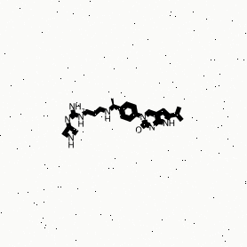 CC(C)c1cc2cn(-c3ccc([C@H](C)NCCCN/C(N)=N\C4CNC4)cc3)c(=O)nc2[nH]1